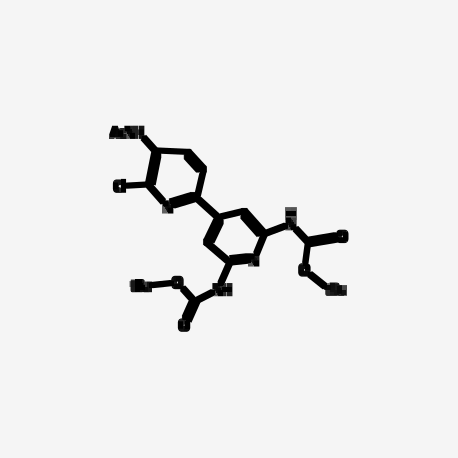 CC(=O)Nc1ccc(-c2cc(NC(=O)OC(C)(C)C)nc(NC(=O)OC(C)(C)C)c2)nc1Cl